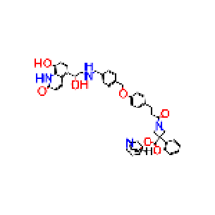 O=C(CCc1ccc(OCc2ccc(CNCC(O)c3ccc(O)c4[nH]c(=O)ccc34)cc2)cc1)N1CC(C(=O)O[C@H]2CN3CCC2CC3)(c2ccccc2)C1